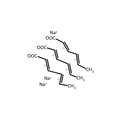 C/C=C/C=C/C(=O)[O-].C/C=C/C=C/C(=O)[O-].C/C=C/C=C/C(=O)[O-].[Na+].[Na+].[Na+]